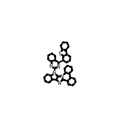 c1ccc2c(-c3cccc4c3sc3ccccc34)nc(-n3c4ccccc4c4nc5c6ccccc6c6ccccc6n5c43)nc2c1